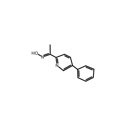 CC(=NO)c1ccc(-c2ccccc2)cn1